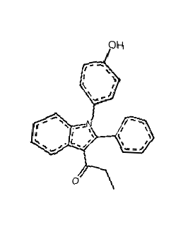 CCC(=O)c1c(-c2ccccc2)n(-c2ccc(O)cc2)c2ccccc12